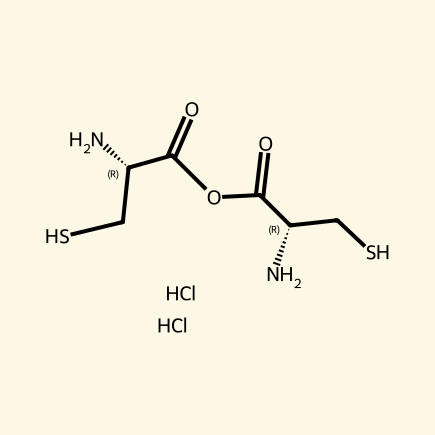 Cl.Cl.N[C@@H](CS)C(=O)OC(=O)[C@@H](N)CS